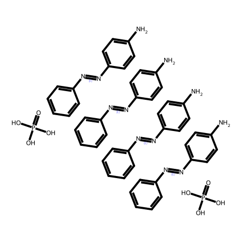 Nc1ccc(/N=N/c2ccccc2)cc1.Nc1ccc(/N=N/c2ccccc2)cc1.Nc1ccc(/N=N/c2ccccc2)cc1.Nc1ccc(/N=N/c2ccccc2)cc1.O=P(O)(O)O.O=P(O)(O)O